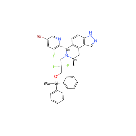 C[C@@H]1Cc2c(ccc3[nH]ncc23)[C@@H](c2ncc(Br)cc2F)N1CC(F)(F)CO[Si](c1ccccc1)(c1ccccc1)C(C)(C)C